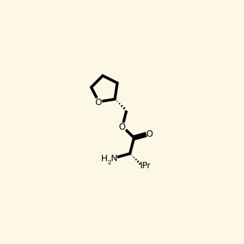 CC(C)[C@H](N)C(=O)OC[C@H]1CCCO1